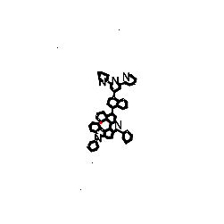 c1ccc(-c2nc3cc(-c4ccc(-c5cc(-c6ccccn6)nc(-c6ccccn6)c5)c5ccccc45)c4ccccc4c3c3c2ccc2c3c3ccccc3n2-c2ccccc2)cc1